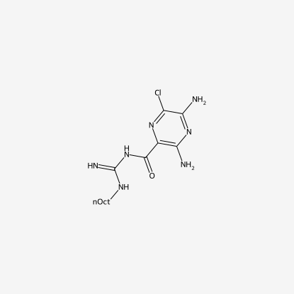 CCCCCCCCNC(=N)NC(=O)c1nc(Cl)c(N)nc1N